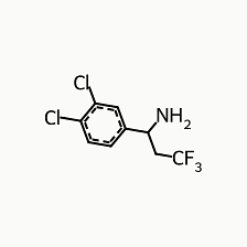 NC(CC(F)(F)F)c1ccc(Cl)c(Cl)c1